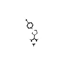 N#Cc1ccc(N2CCC(c3c(N)nc(N)nc3O)C2)cc1